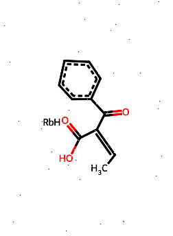 CC=C(C(=O)O)C(=O)c1ccccc1.[RbH]